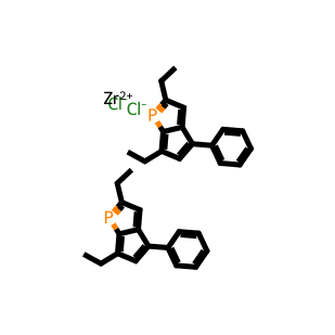 CCC1=PC2=C(CC)C=C(c3ccccc3)C2=C1.CCC1=PC2=C(CC)C=C(c3ccccc3)C2=C1.[Cl-].[Cl-].[Zr+2]